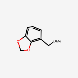 [CH2]OCc1cccc2c1OCO2